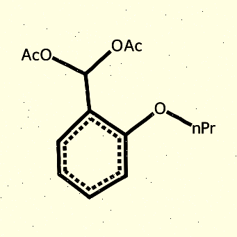 CCCOc1ccccc1C(OC(C)=O)OC(C)=O